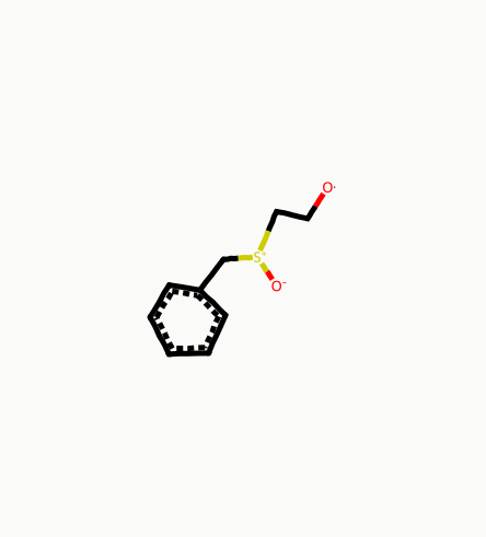 [O]CC[S+]([O-])Cc1ccccc1